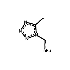 [CH2]c1nnnn1CCCCC